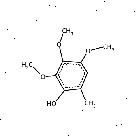 COc1cc(C)c(O)c(OC)c1OC